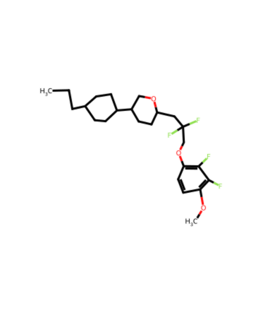 CCCC1CCC(C2CCC(CC(F)(F)COc3ccc(OC)c(F)c3F)OC2)CC1